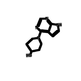 OC1CCN(c2ncnc3[nH]ccc23)CC1